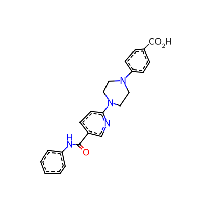 O=C(O)c1ccc(N2CCN(c3ccc(C(=O)Nc4ccccc4)cn3)CC2)cc1